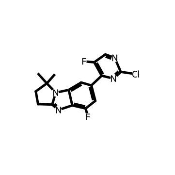 CC1(C)CCc2nc3c(F)cc(-c4nc(Cl)ncc4F)cc3n21